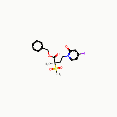 C[C@@](CCn1ccc(I)cc1=O)(C(=O)OCc1ccccc1)S(C)(=O)=O